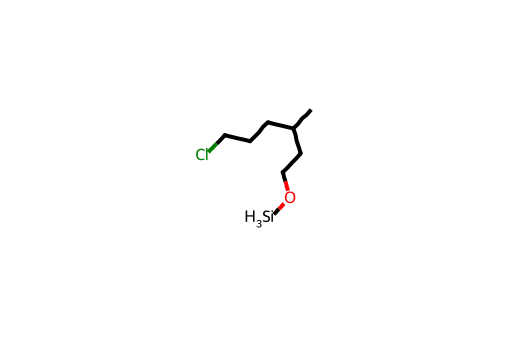 CC(CCCCl)CCO[SiH3]